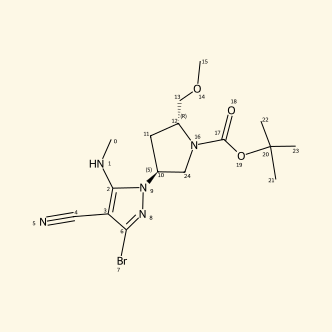 CNc1c(C#N)c(Br)nn1[C@H]1C[C@H](COC)N(C(=O)OC(C)(C)C)C1